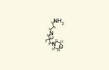 CC(C)(C=NCCCN)CN1CCOCC1